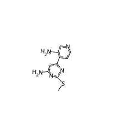 CSc1nc(N)cc(-c2ccncc2N)n1